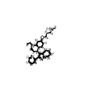 CCN1C=CC(c2c(-c3ccccn3)nn3ccccc23)c2ccc(OCCCNC)cc21